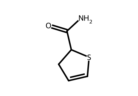 NC(=O)C1CC=CS1